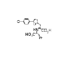 CC(C)CC(N[C@@H](Cc1ccc(-c2ccc(Cl)cc2)o1)C(=O)O)C(=O)O